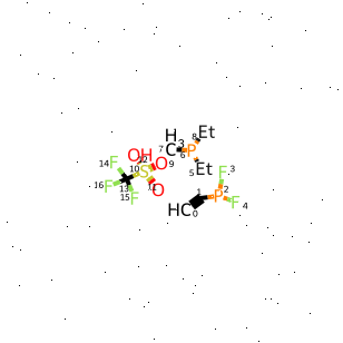 C#CP(F)F.CCP(C)CC.O=S(=O)(O)C(F)(F)F